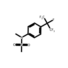 CN(c1ccc(C(F)(C(F)(F)F)C(F)(F)F)cc1)S(C)(=O)=O